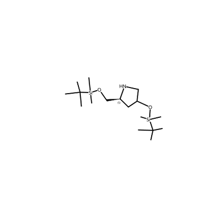 CC(C)(C)[Si](C)(C)OC[C@@H]1CC(O[Si](C)(C)C(C)(C)C)CN1